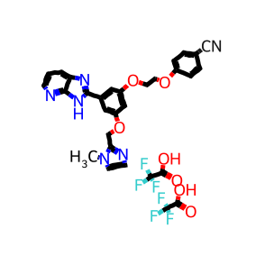 Cn1ccnc1COc1cc(OCCOc2ccc(C#N)cc2)cc(-c2nc3cccnc3[nH]2)c1.O=C(O)C(F)(F)F.O=C(O)C(F)(F)F